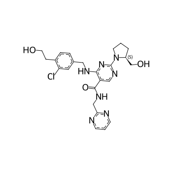 O=C(NCc1ncccn1)c1cnc(N2CCC[C@H]2CO)nc1NCc1ccc(CCO)c(Cl)c1